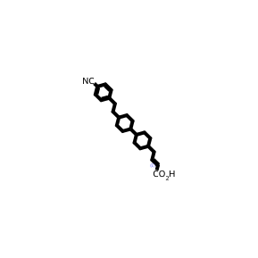 N#Cc1ccc(CCC2CCC(C3CCC(C/C=C/C(=O)O)CC3)CC2)cc1